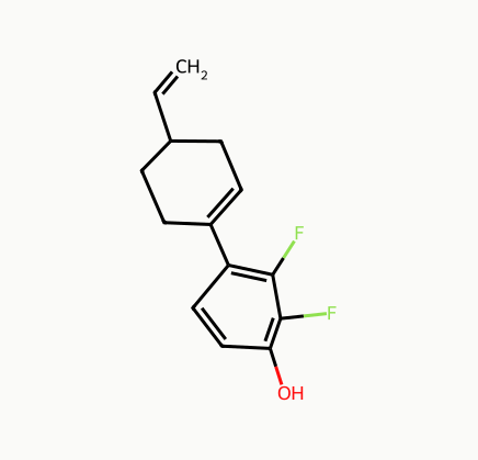 C=CC1CC=C(c2ccc(O)c(F)c2F)CC1